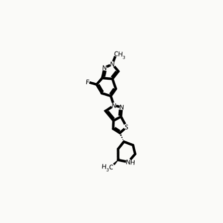 C[C@H]1C[C@H](c2cc3cn(-c4cc(F)c5nn(C)cc5c4)nc3s2)CCN1